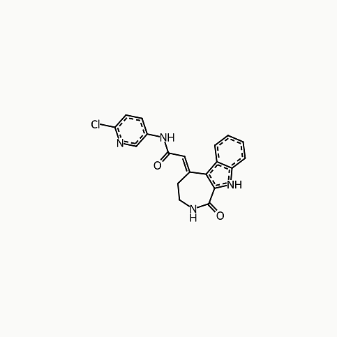 O=C(/C=C1\CCNC(=O)c2[nH]c3ccccc3c21)Nc1ccc(Cl)nc1